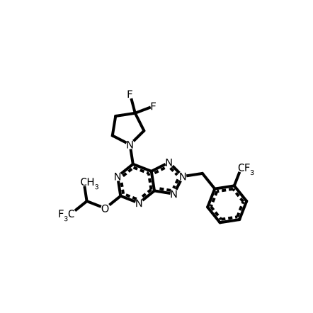 CC(Oc1nc(N2CCC(F)(F)C2)c2nn(Cc3ccccc3C(F)(F)F)nc2n1)C(F)(F)F